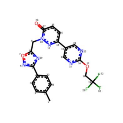 Cc1ccc(-c2noc(Cn3nc(-c4cnc(OCC(F)(F)F)nc4)ccc3=O)n2)cc1